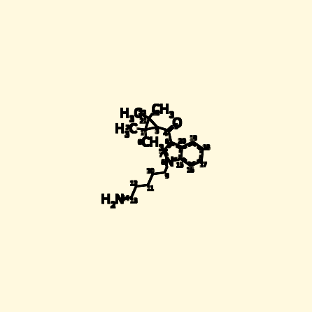 CC1(C)C(C(=O)c2cn(CCCCCN)c3ccccc23)C1(C)C